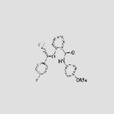 COc1ccc(NC(=O)c2cccc(C(F)(F)F)c2OC(=O)c2ccc(F)cc2)cc1